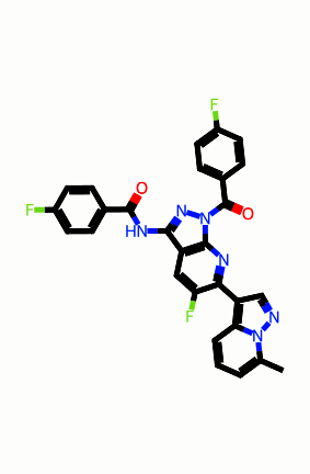 Cc1cccc2c(-c3nc4c(cc3F)c(NC(=O)c3ccc(F)cc3)nn4C(=O)c3ccc(F)cc3)cnn12